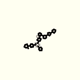 Cc1ccccc1-c1ccc(-c2nc(-c3ccccc3)nc(-c3ccc4c(c3)oc3cccc(-c5cccc(-c6ccc(-c7ccccc7)cc6)c5)c34)n2)cc1